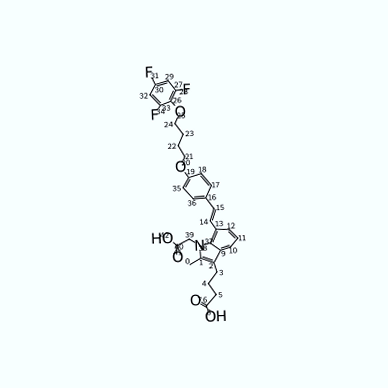 Cc1c(CCCC(=O)O)c2cccc(C=Cc3ccc(OCCCCOc4c(F)cc(F)cc4F)cc3)c2n1CC(=O)O